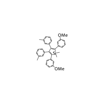 COc1cccc(C2=C(c3cccc(C)c3)C(c3cccc(C)c3)=C(c3cccc(OC)c3)[Si]2(C)C)c1